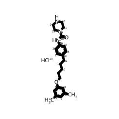 Cc1cc(C)cc(OCCCCCc2ccc(NC(=O)N3CCNCC3)cc2)c1.Cl